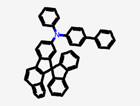 c1ccc(-c2ccc(N(c3ccccc3)c3ccc4c(c3)C3(c5ccccc5-c5ccccc53)c3c-4ccc4ccccc34)cc2)cc1